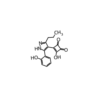 CCCc1n[nH]c(-c2ccccc2O)c1-c1c(O)c(=O)c1=O